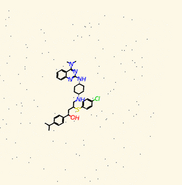 CC(C)c1ccc(C(O)CC(CN[C@H]2CC[C@@H](Nc3nc(N(C)C)c4ccccc4n3)CC2)Sc2ccc(Cl)cc2)cc1